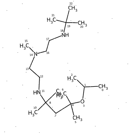 CC(C)OC(C)(C)CC(C)(C)NCCN(C)CCNC(C)(C)C